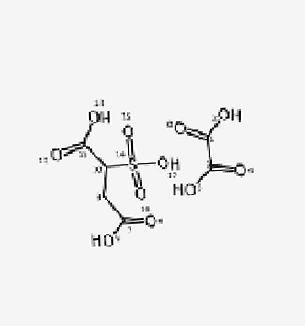 O=C(O)C(=O)O.O=C(O)CC(C(=O)O)S(=O)(=O)O